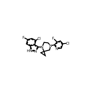 Fc1cc(Cl)c2c(N3CCN(c4ncc(Cl)cc4F)CC34CC4)n[nH]c2c1